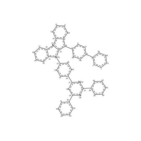 c1ccc(-c2ccc(-c3c4ccccc4n4c5ccccc5n(-c5ccc(-c6cc(-c7ccccc7)nc(-c7ccccc7)n6)cc5)c34)cc2)cc1